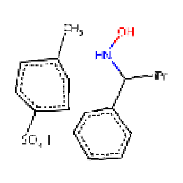 CC(C)C(NO)c1ccccc1.Cc1ccc(S(=O)(=O)O)cc1